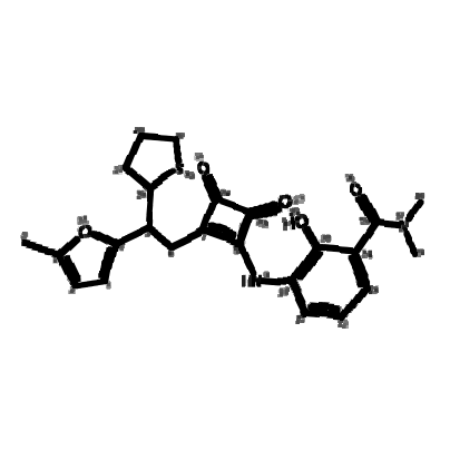 Cc1ccc(C(Cc2c(Nc3cccc(C(=O)N(C)C)c3O)c(=O)c2=O)C2CCCS2)o1